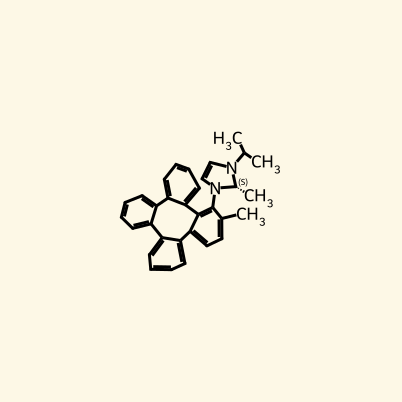 Cc1ccc2c(c1N1C=CN(C(C)C)[C@@H]1C)-c1ccccc1-c1ccccc1-c1ccccc1-2